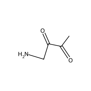 CC(=O)C(=O)CN